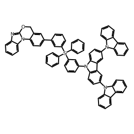 c1ccc([Si](c2ccccc2)(c2cccc(-c3ccc4c(c3)COc3nc5ccccc5n3-4)c2)c2cccc(-n3c4ccc(-n5c6ccccc6c6ccccc65)cc4c4cc(-n5c6ccccc6c6ccccc65)ccc43)c2)cc1